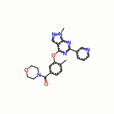 Cc1ccc(C(=O)N2CCOCC2)cc1Oc1nc(-c2cccnc2)nc2c1cnn2C